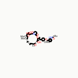 CCCCC(=O)Nc1cccc(COC2CCC(C=C(C)C3OC(=O)C4CCCCN4C(=O)C(=O)C4(O)OC(C(OC)CC(C)C/C(C)=C/C(CC)C(=O)CC(O)C3C)C(OC)CC4C)CC2OC)c1